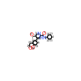 O=Cc1cnc(C(=O)Nc2ccccc2)cc1-c1ccc2c(c1)C=COO2